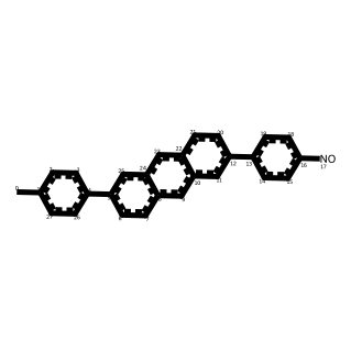 Cc1ccc(-c2ccc3cc4cc(-c5ccc(N=O)cc5)ccc4cc3c2)cc1